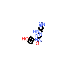 Cc1cc2ncnn2cc1Nc1ncc2c(n1)n(C1C3CC4CC5(O)CC1C35C4)c(=O)n2C